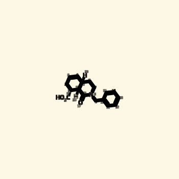 O=C(O)[C@@H]1CC=C[C@@H]2CCN(Cc3ccccc3)C(=O)[C@@H]21